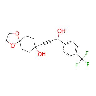 OC(C#CC1(O)CCC2(CC1)OCCO2)c1ccc(C(F)(F)F)cc1